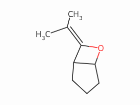 CC(C)=C1OC2CCCC12